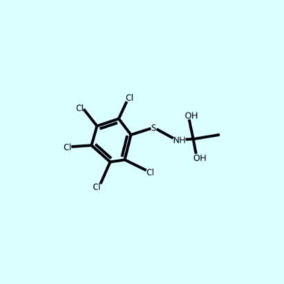 CC(O)(O)NSc1c(Cl)c(Cl)c(Cl)c(Cl)c1Cl